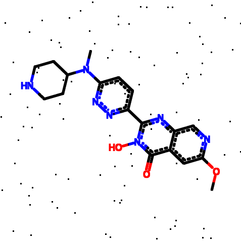 COc1cc2c(=O)n(O)c(-c3ccc(N(C)C4CCNCC4)nn3)nc2cn1